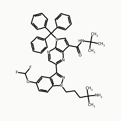 CC(C)(N)CCCn1nc(-c2cnc3c(n2)c(C(=O)NC(C)(C)C)cn3C(c2ccccc2)(c2ccccc2)c2ccccc2)c2cc(OC(F)F)ccc21